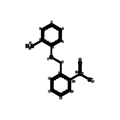 Nc1ccccc1OCc1ccccc1[N+](=O)[O-]